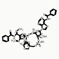 C=Nc1c(/C(=N\C)NC(=O)c2ccccc2)ncn1[C@@H]1O[C@@]23CO[C@@H]1[C@@H]2O[P@](=O)(S)OC[C@@]1(C)O[C@@H](n2cnc4c(NC(=O)c5ccccc5)ncnc42)[C@H](O)[C@@H]1O[P@](=O)(S)OC3